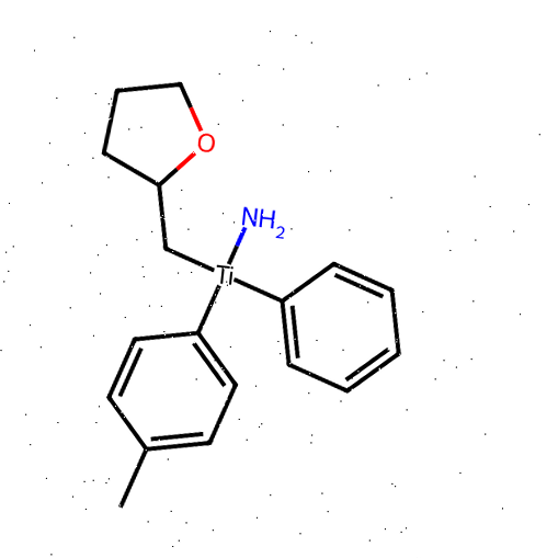 Cc1cc[c]([Ti]([NH2])([CH2]C2CCCO2)[c]2ccccc2)cc1